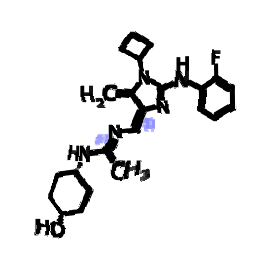 C=c1/c(=C\N=C(/C)N[C@H]2CC[C@H](O)CC2)nc(Nc2ccccc2F)n1C1CCC1